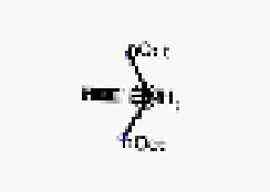 CCCCCCCC/C=C\CCCCCCCC(=O)OC(N)(CC)OC(=O)CCCCCCC/C=C\CCCCCCCC.Cl.Cl.Cl.Cl.Cl